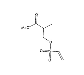 C=CS(=O)(=O)OCC(C)C(=O)OC